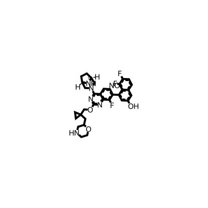 O=[N+]([O-])c1cc2c(N3C[C@H]4CC[C@@H](C3)N4)nc(OCC3(CC4CNCCO4)CC3)nc2c(F)c1-c1cc(O)cc2ccc(F)c(F)c12